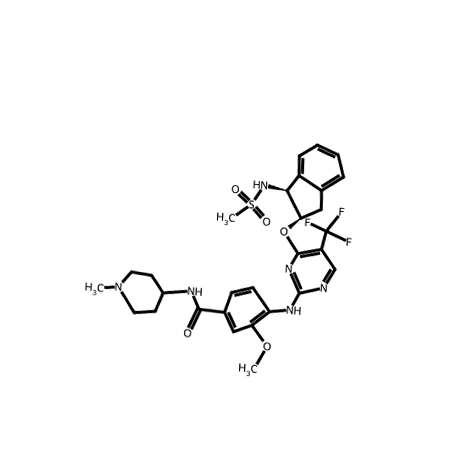 COc1cc(C(=O)NC2CCN(C)CC2)ccc1Nc1ncc(C(F)(F)F)c(O[C@@H]2Cc3ccccc3[C@@H]2NS(C)(=O)=O)n1